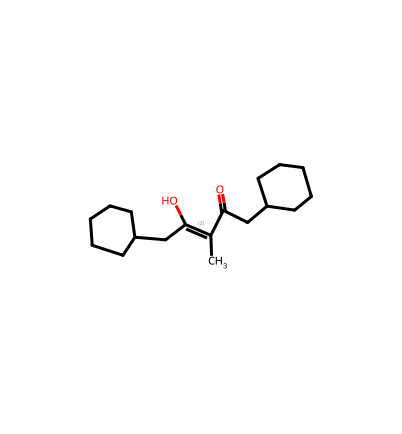 C/C(C(=O)CC1CCCCC1)=C(/O)CC1CCCCC1